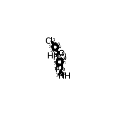 Cl.O=C(Nc1ccc(CC2(F)CNC2)cc1)c1ccc(Cl)cc1